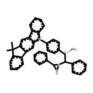 CC1(C)c2ccccc2-c2cc3c(cc21)c1ccccc1n3-c1ccc([C@H](N)C(c2ccccc2)N2NC2c2ccccc2)cc1